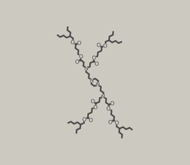 CCCCC(CCC)COC(=O)CCCOC(=O)CCN(CCCN1CCN(CCCN(CCC(=O)OCCCC(=O)OCC(CCC)CCCC)CCC(=O)OCCCC(=O)OCC(CCC)CCCC)CC1)CCC(=O)OCCCC(=O)OCC(CCC)CCCC